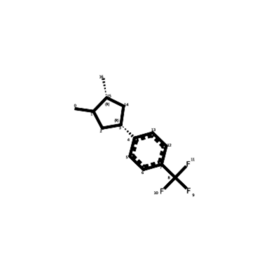 CC1C[C@@H](c2ccc(C(F)(F)F)cc2)C[C@H]1C